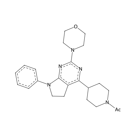 CC(=O)N1CCC(c2nc(N3CCOCC3)nc3c2CCN3c2ccccc2)CC1